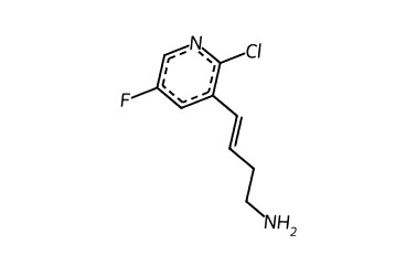 NCCC=Cc1cc(F)cnc1Cl